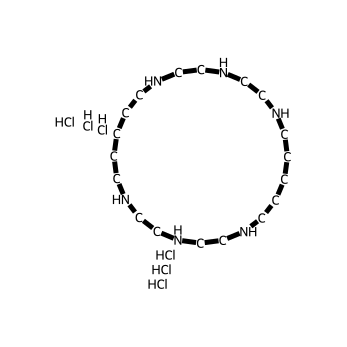 C1CCNCCNCCNCCCCCNCCNCCNCC1.Cl.Cl.Cl.Cl.Cl.Cl